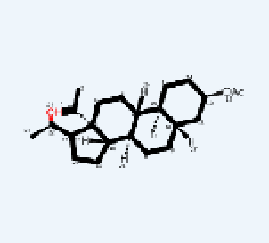 C=C(C)[C@]12CC[C@H]3[C@@H](CC[C@H]4C[C@H](OC(C)=O)CC[C@@]43C)[C@@H]1CCC2[C@@H](C)O